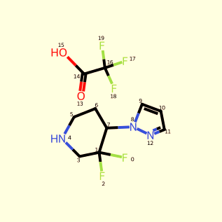 FC1(F)CNCCC1n1cccn1.O=C(O)C(F)(F)F